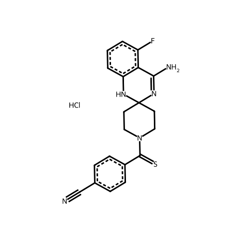 Cl.N#Cc1ccc(C(=S)N2CCC3(CC2)N=C(N)c2c(F)cccc2N3)cc1